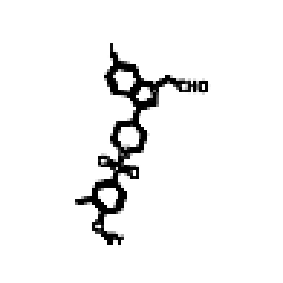 Cc1cc(S(=O)(=O)N2CCC(c3cn(CC=O)c4cc(I)ccc34)CC2)ccc1OC(C)C